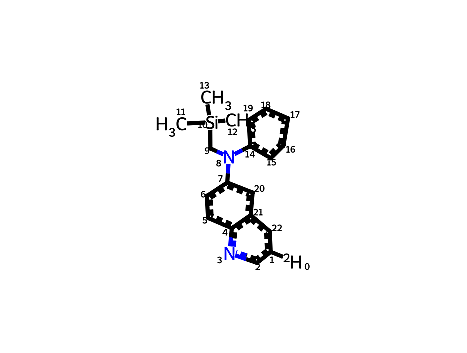 [2H]c1cnc2ccc(N(C[Si](C)(C)C)c3ccccc3)cc2c1